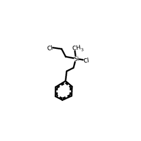 C[Si](Cl)(CCCl)CCc1ccccc1